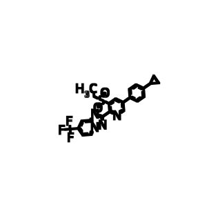 CCS(=O)(=O)c1cc(-c2ccc(C3CC3)cc2)cnc1-c1nc2cc(C(F)(F)F)ccn2n1